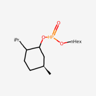 CCCCCCO[PH](=O)OC1C[C@@H](C)CCC1C(C)C